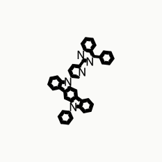 c1ccc(-c2nc(-c3ccc(-n4c5ccccc5c5cc6c(cc54)c4ccccc4n6-c4ccccc4)cn3)nc3ccccc23)cc1